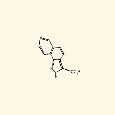 O=C(O)c1[nH]nc2c1ccc1cnccc12